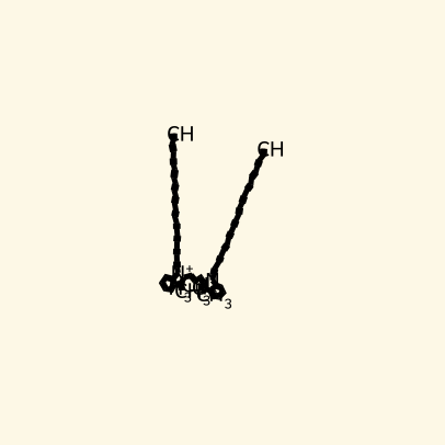 C#CC#CC#CC#CC#CC#CC#CC#CC#CC#CC#CN1/C(=C/C=C/C2=[N+](C#CC#CC#CC#CC#CC#CC#CC#CC#CC#CC#C)c3ccccc3C2(C)C)C(C)(C)c2ccccc21